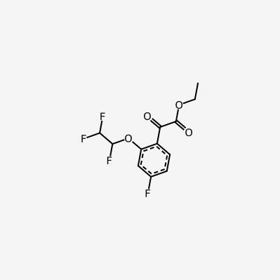 CCOC(=O)C(=O)c1ccc(F)cc1OC(F)C(F)F